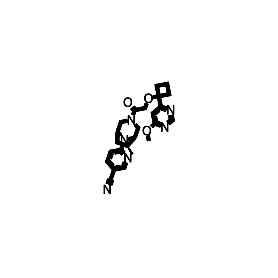 COc1cc(C2(OCC(=O)N3CC4C[C@H](C)C(C3)N4c3ccc(C#N)cn3)CCC2)ncn1